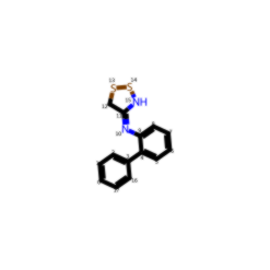 c1ccc(-c2ccccc2N=C2CSSN2)cc1